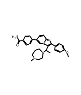 COc1ccc(-c2nc3ccc(-c4ccc(C(N)=O)cc4)cn3c2C(C)N2CCCN(C)CC2)cc1